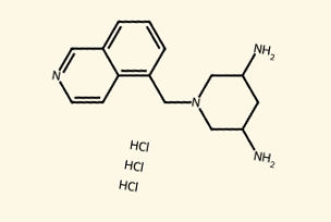 Cl.Cl.Cl.NC1CC(N)CN(Cc2cccc3cnccc23)C1